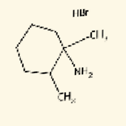 Br.CC1CCCCC1(C)N